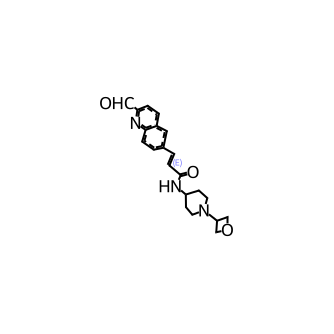 O=Cc1ccc2cc(/C=C/C(=O)NC3CCN(C4COC4)CC3)ccc2n1